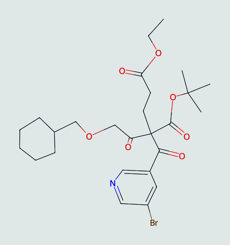 CCOC(=O)CCC(C(=O)COCC1CCCCC1)(C(=O)OC(C)(C)C)C(=O)c1cncc(Br)c1